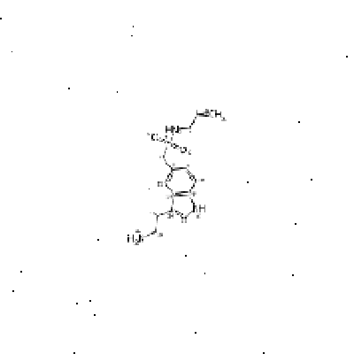 C=CCNS(=O)(=O)Cc1ccc2[nH]cc(CCN)c2c1